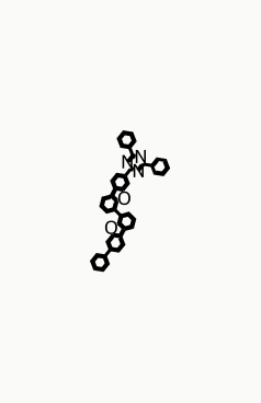 C1=C=CC(c2nc(-c3ccccc3)nc(-c3ccc4c(c3)oc3c(-c5cccc6c5oc5cc(-c7ccccc7)ccc56)cccc34)n2)=CC=1